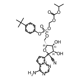 CC(C)OC(=O)OCO[P@](=O)(OC[C@H]1O[C@@](C#N)(c2ccc3c(N)ncnn23)[C@H](O)[C@@H]1O)Oc1ccc(C(C)(C)C)cc1